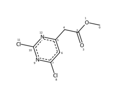 COC(=O)Cc1cc(Cl)nc(Cl)n1